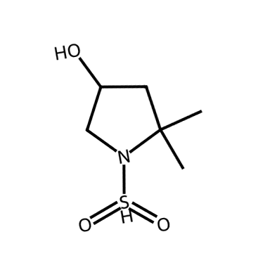 CC1(C)CC(O)CN1[SH](=O)=O